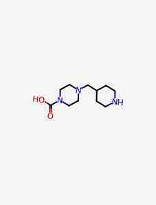 O=C(O)N1CCN(CC2CCNCC2)CC1